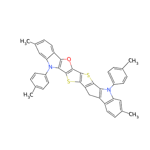 Cc1ccc(-n2c3c(c4ccc(C)cc42)Cc2c-3sc3c2sc2c3oc3c4ccc(C)cc4n(-c4ccc(C)cc4)c32)cc1